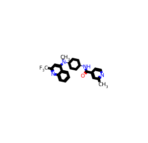 Cc1cc(C(=O)N[C@H]2CC[C@@H](N(C)c3cc(C(F)(F)F)nc4ccccc34)CC2)ccn1